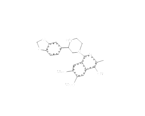 COc1cc2c(N3CCNC(c4ccc5c(c4)OCO5)C3)nc(C)c(C#N)c2cc1OC